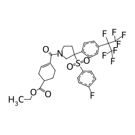 CCOC(=O)C1CC=C(C(=O)N2CCC(c3ccc(C(F)(C(F)(F)F)C(F)(F)F)cc3)(S(=O)(=O)c3ccc(F)cc3)C2)CC1